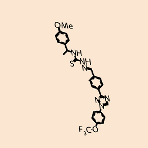 COc1ccc(C(C)NC(=S)N/N=C/c2ccc(-c3ncn(-c4ccc(OC(F)(F)F)cc4)n3)cc2)cc1